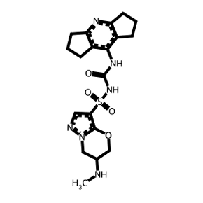 CNC1COc2c(S(=O)(=O)NC(=O)Nc3c4c(nc5c3CCC5)CCC4)cnn2C1